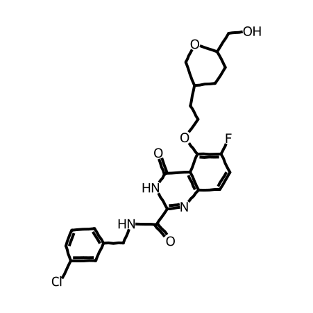 O=C(NCc1cccc(Cl)c1)c1nc2ccc(F)c(OCCC3CCC(CO)OC3)c2c(=O)[nH]1